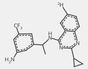 [2H]c1ccc2nc(C3CC3)nc(NC(C)c3cc(N)cc(C(F)(F)F)c3)c2c1